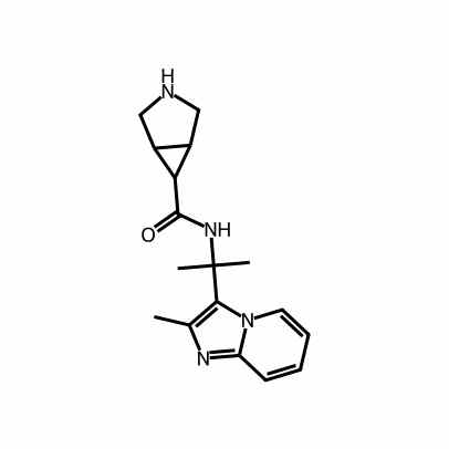 Cc1nc2ccccn2c1C(C)(C)NC(=O)C1C2CNCC21